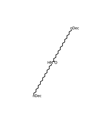 CCCCCCCCCCCCCCCCCCCCCCCCCCNC(=O)CCCCCCCCCCCCCCCCCCCCCCCCCC